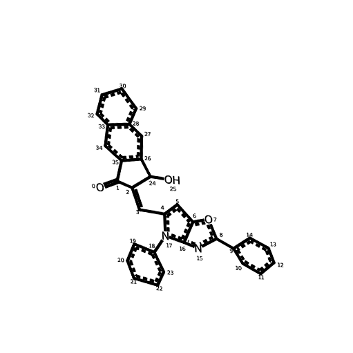 O=C1/C(=C/c2cc3oc(-c4ccccc4)nc3n2-c2ccccc2)C(O)c2cc3ccccc3cc21